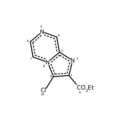 CCOC(=O)c1nc2cnccn2c1Cl